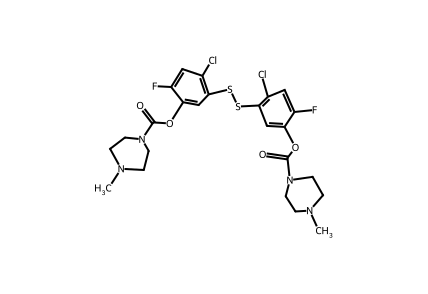 CN1CCN(C(=O)Oc2cc(SSc3cc(OC(=O)N4CCN(C)CC4)c(F)cc3Cl)c(Cl)cc2F)CC1